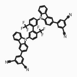 N#Cc1cc(C#N)cc(-c2ccc3c(c2)c2ccccc2n3-c2ccc(C(F)(F)F)c(-c3cc(-n4c5ccccc5c5cc(-c6cc(C#N)cc(C#N)c6)ccc54)ccc3C(F)(F)F)c2)c1